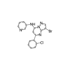 Clc1ccccc1-c1cc(Nc2cccnc2)n2ncc(Br)c2n1